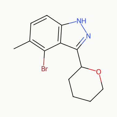 Cc1ccc2[nH]nc(C3CCCCO3)c2c1Br